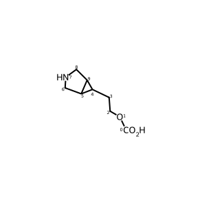 O=C(O)OCCC1C2CNCC12